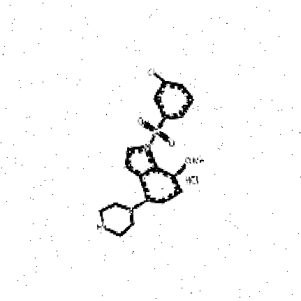 COc1ccc(N2CCNCC2)c2ccn(S(=O)(=O)c3cccc(Cl)c3)c12.Cl